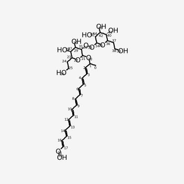 CC(/C=C/C=C/C=C/C=C/C=C/C=C/C=C/C=C/OO)OC1OC(CCO)[C@@H](O)C(O)[C@H]1OOC1OC(CCO)[C@@H](O)C(O)[C@H]1O